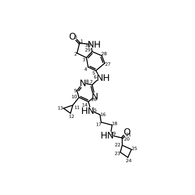 O=C1Cc2cc(Nc3ncc(C4CC4)c(NCCCNC(=O)C4CCC4)n3)ccc2N1